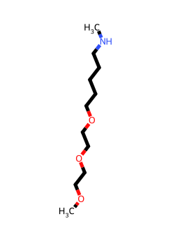 CNCCCCCOCCOCCOC